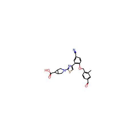 Cc1cc(C=O)ccc1COc1ccc(C#N)cc1-c1csc(N2CC3C(C2)C3C(=O)O)n1